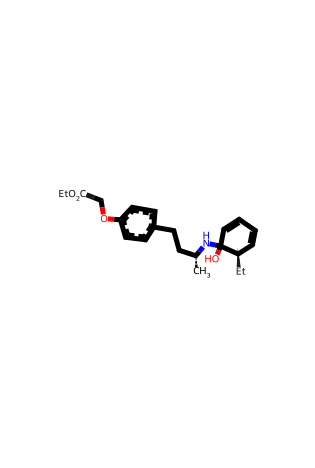 CCOC(=O)COc1ccc(CC[C@@H](C)NC2(O)C=CC=C[C@H]2CC)cc1